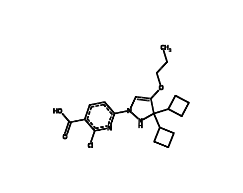 CCCOC1=CN(c2ccc(C(=O)O)c(Cl)n2)NC1(C1CCC1)C1CCC1